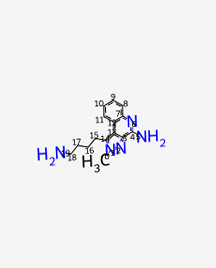 Cn1nc2c(N)nc3ccccc3c2c1CCCCN